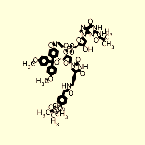 [C-]#[N+]CCOP(=O)(OC[C@H]1O[C@@H](n2cnc3c(=O)[nH]c(NC(=O)C(C)C)nc32)C[C@H]1O)O[C@@H]1C[C@H](n2cc(C#CCNC(=O)Cc3ccc(O[Si](C)(C)C(C)(C)C)cc3)c(=O)[nH]c2=O)O[C@@H]1COC(c1ccccc1)(c1ccc(OC)cc1)c1ccc(OC)cc1